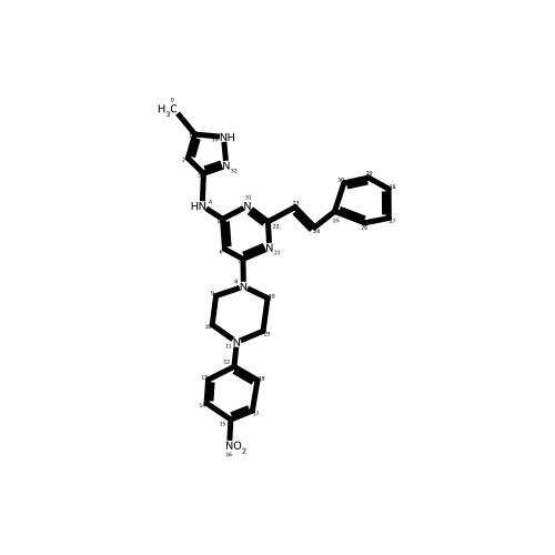 Cc1cc(Nc2cc(N3CCN(c4ccc([N+](=O)[O-])cc4)CC3)nc(C=Cc3ccccc3)n2)n[nH]1